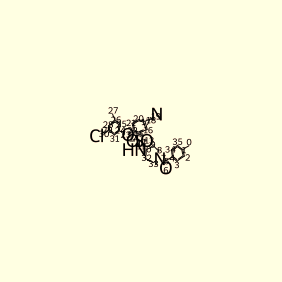 Cc1ccc(C(=O)N2CCC(NS(=O)(=O)c3cc(C#N)ccc3Oc3cc(C)cc(Cl)c3)CC2)cc1